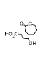 O=C(O)CCCO.O=C1CCCCCO1